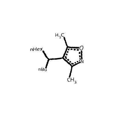 CCCCCCC(CCCC)c1c(C)noc1C